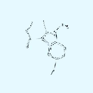 Cn1c2c(c3cc(F)ccc31)C(=O)CCC2